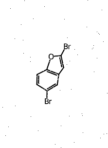 Brc1ccc2oc(Br)cc2c1